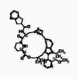 CCn1c(-c2cccnc2[C@H](C)OC)c2c3cc(ccc31)-c1csc(n1)C[C@H](NC(=O)C1Cc3cccnc3C1)C(=O)N1CCC[C@H](N1)C(=O)OCC(C)(C)C2